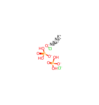 O=P([O-])(O)O.O=P([O-])(O)O.[Cl-].[K+].[Na+].[Na+].[Na+].[O-]Cl